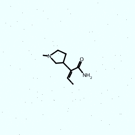 CC=C(C(N)=O)C1CCN(C)C1